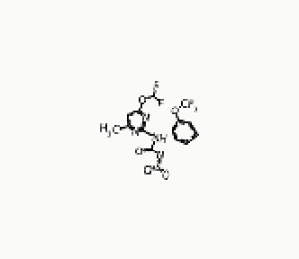 Cc1cc(OC(F)F)nc(NC(=O)N=S(=O)=O)n1.FC(F)(F)Oc1ccccc1